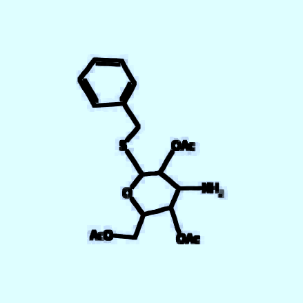 CC(=O)OCC1OC(SCc2ccccc2)C(OC(C)=O)C(N)C1OC(C)=O